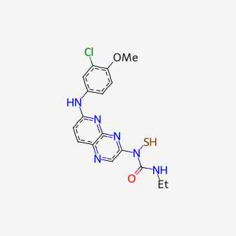 CCNC(=O)N(S)c1cnc2ccc(Nc3ccc(OC)c(Cl)c3)nc2n1